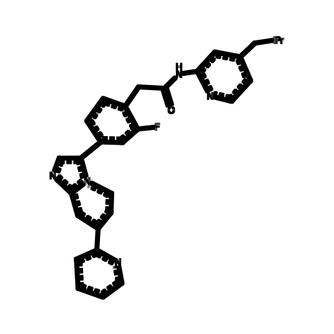 CC(C)Cc1ccnc(NC(=O)Cc2ccc(-c3cnc4cc(-c5ccccn5)ccn34)cc2F)c1